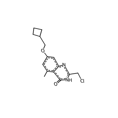 Cc1cc(OCC2CCC2)cc2nc(CCl)[nH]c(=O)c12